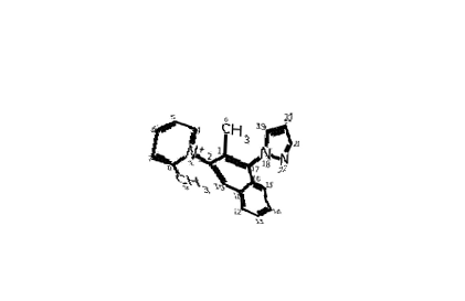 Cc1c(-[n+]2ccccc2C)cc2ccccc2c1-n1cccn1